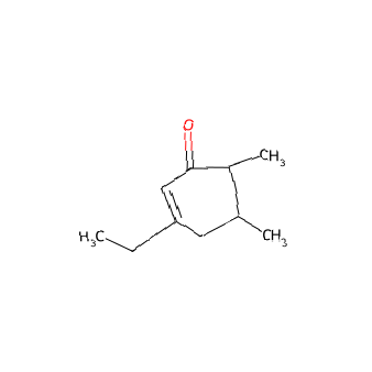 CCC1=CC(=O)C(C)C(C)C1